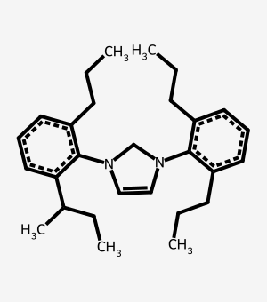 CCCc1cccc(CCC)c1N1C=CN(c2c(CCC)cccc2C(C)CC)C1